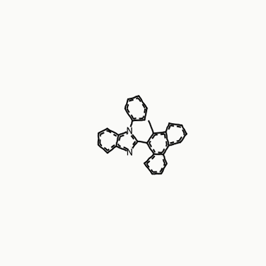 Cc1c(-c2nc3ccccc3n2-c2ccccc2)c2ccccc2c2ccccc12